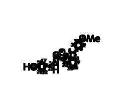 COc1ccc(CCn2c(=O)c(C(=O)NCCc3ccc(O)cc3)cc3ccccc32)cc1